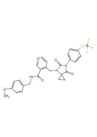 COc1ccc(CNC(=O)c2cnccc2CN2C(=O)N(c3ccc(SC(F)(F)F)cc3)C(=O)C23CC3)cc1